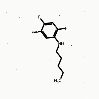 CCCCCNc1cc(F)c(F)cc1F